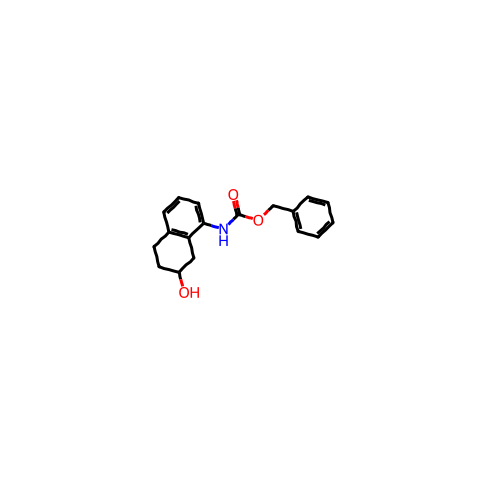 O=C(Nc1cccc2c1CC(O)CC2)OCc1ccccc1